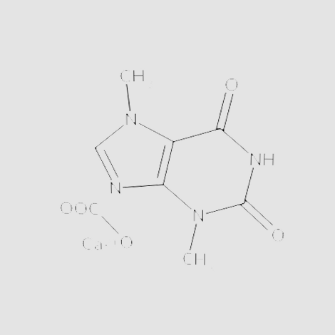 Cn1cnc2c1c(=O)[nH]c(=O)n2C.O=C([O-])[O-].[Ca+2]